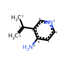 C=C(C)c1cnccc1N